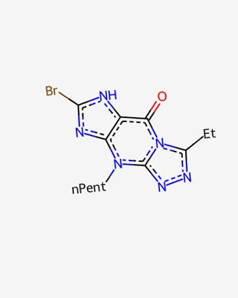 CCCCCn1c2nc(Br)[nH]c2c(=O)n2c(CC)nnc12